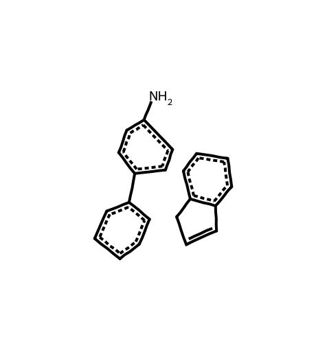 C1=Cc2ccccc2C1.Nc1ccc(-c2ccccc2)cc1